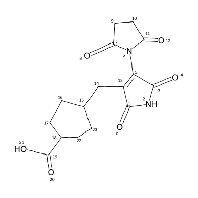 O=C1NC(=O)C(N2C(=O)CCC2=O)=C1CC1CCC(C(=O)O)CC1